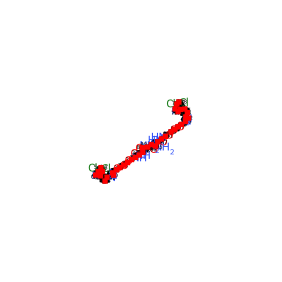 CN1Cc2c(Cl)cc(Cl)cc2[C@H](c2cccc(-c3cn(CCOCCOCCOCCNC(=O)NCCN(CCCCN(CCNC(=O)NCCOCCOCCOCCn4cc(-c5cccc([C@@H]6CN(C)Cc7c(Cl)cc(Cl)cc76)c5)nn4)C(N)=O)C(N)=O)nn3)c2)C1